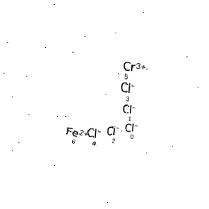 [Cl-].[Cl-].[Cl-].[Cl-].[Cl-].[Cr+3].[Fe+2]